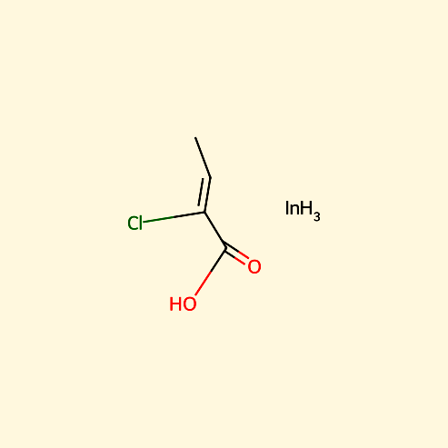 C/C=C(\Cl)C(=O)O.[InH3]